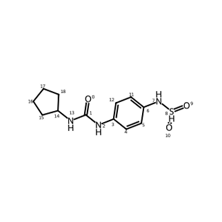 O=C(Nc1ccc(N[SH](=O)=O)cc1)NC1CCCC1